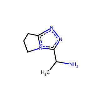 CC(N)c1nnc2n1CCC2